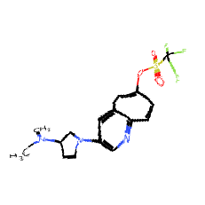 CN(C)C1CCN(c2cnc3ccc(OS(=O)(=O)C(F)(F)F)cc3c2)C1